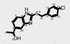 CC(O)c1ccc2[nH]c(SCc3ccc(Cl)cc3)nc2c1